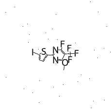 COc1nc(-c2ccc(I)s2)nc(F)c1C(F)(F)F